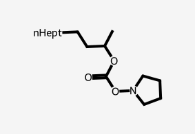 CCCCCCCCCC(C)OC(=O)ON1CCCC1